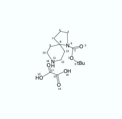 CC(C)(C)OC(=O)N1CCCC12CCNCC2.O=C(O)C(=O)O